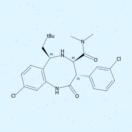 CN(C)C(=O)[C@@H]1N[C@H](CC(C)(C)C)c2ccc(Cl)cc2NC(=O)[C@H]1c1cccc(Cl)c1